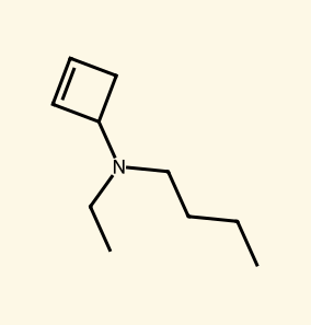 CCCCN(CC)C1C=CC1